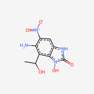 CC(O)c1c(N)c([N+](=O)[O-])cc2[nH]c(=O)n(O)c12